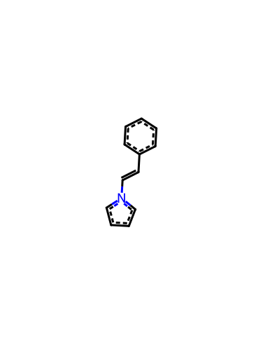 C(=Cn1cccc1)c1ccccc1